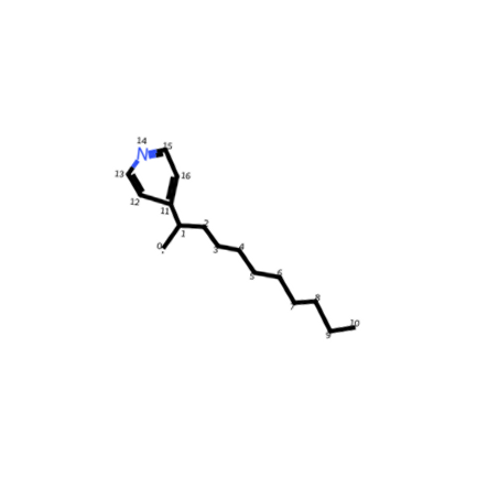 [CH2]C(CCCCCCCCC)c1ccncc1